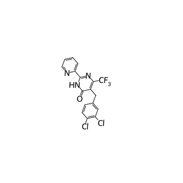 O=c1[nH]c(-c2ccccn2)nc(C(F)(F)F)c1Cc1ccc(Cl)c(Cl)c1